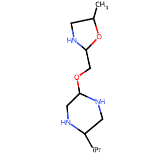 CC1CNC(COC2CNC(C(C)C)CN2)O1